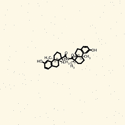 C[C@]1(C(=O)NC(=O)[C@@]2(C)CCC[C@]3(C)c4cc(O)ccc4CC[C@@H]23)CCC[C@]2(C)c3cc(O)ccc3CC[C@@H]12